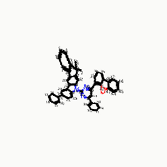 CC1(C)c2ccccc2-c2cc3c4cc(-c5ccccc5)ccc4n(-c4nc(-c5ccccc5)cc(-c5cccc6c5oc5ccccc56)n4)c3cc21